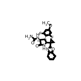 COc1cc(F)c([C@@H]2C(C3(c4nc5ccccc5o4)CC3)NC(=O)[C@H]2NC(N)=O)c(F)c1